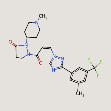 Cc1cc(-c2ncn(/C=C\C(=O)N3CCC(=O)N3C3CCN(C)CC3)n2)cc(C(F)(F)F)c1